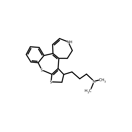 CN(C)CCCC1CSC2=C1C1=C(C=CNCC1)c1ccccc1S2